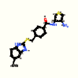 COc1ccc2[nH]c(SCc3ccc(C(=O)Nc4cscc4N)cc3)nc2c1